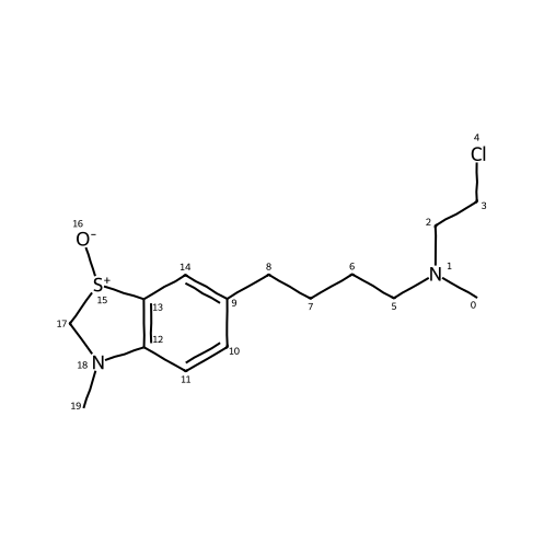 CN(CCCl)CCCCc1ccc2c(c1)[S+]([O-])CN2C